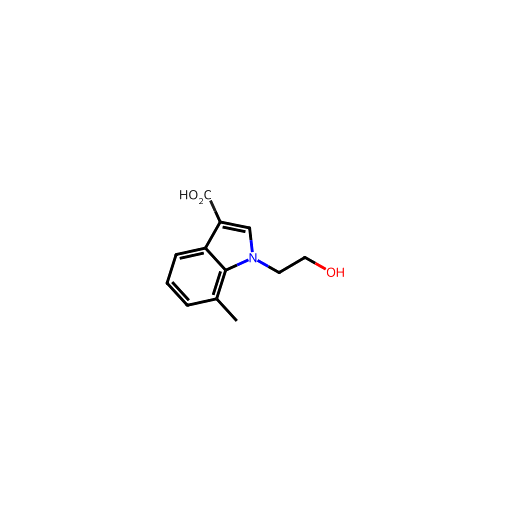 Cc1cccc2c(C(=O)O)cn(CCO)c12